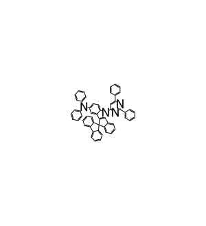 c1ccc(-c2cc(-n3c4c(c5cc(N(c6ccccc6)c6ccccc6)ccc53)C3(c5ccccc5-c5ccccc53)c3ccccc3-4)nc(-c3ccccc3)n2)cc1